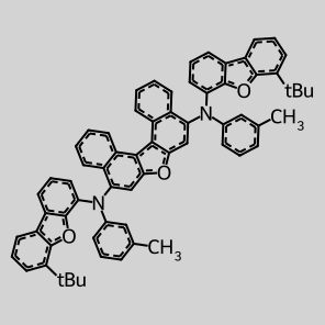 Cc1cccc(N(c2cc3oc4cc(N(c5cccc(C)c5)c5cccc6c5oc5c(C(C)(C)C)cccc56)c5ccccc5c4c3c3ccccc23)c2cccc3c2oc2c(C(C)(C)C)cccc23)c1